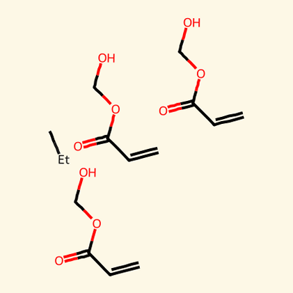 C=CC(=O)OCO.C=CC(=O)OCO.C=CC(=O)OCO.CCC